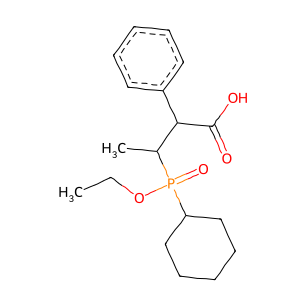 CCOP(=O)(C1CCCCC1)C(C)C(C(=O)O)c1ccccc1